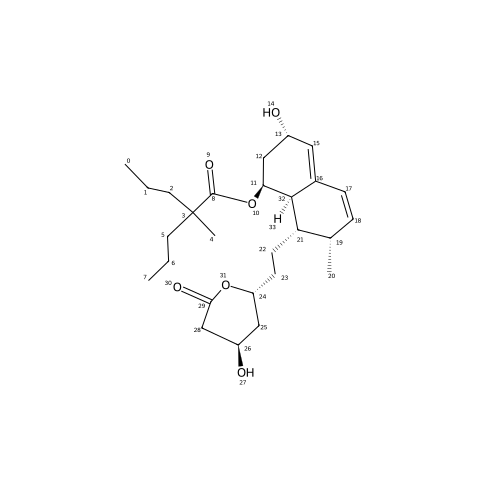 CCCC(C)(CCC)C(=O)O[C@H]1C[C@H](O)C=C2C=C[C@H](C)[C@H](CC[C@@H]3C[C@@H](O)CC(=O)O3)[C@H]21